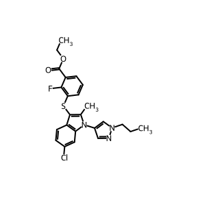 CCCn1cc(-n2c(C)c(Sc3cccc(C(=O)OCC)c3F)c3ccc(Cl)cc32)cn1